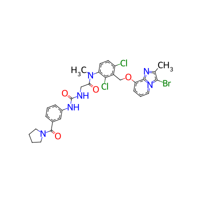 Cc1nc2c(OCc3c(Cl)ccc(N(C)C(=O)CNC(=O)Nc4cccc(C(=O)N5CCCC5)c4)c3Cl)cccn2c1Br